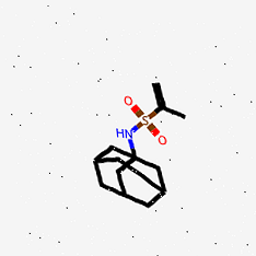 C=C(C)S(=O)(=O)NC12CC3CC(CC(C3)C1)C2